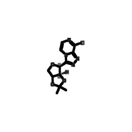 CC1(C)OC2CO[C@@H](c3nnc4c(Cl)nccn34)[C@H]2O1